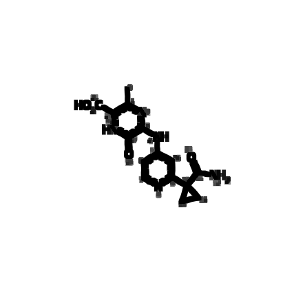 Cc1nc(Nc2ccnc(C3(C(N)=O)CC3)c2)c(=O)[nH]c1C(=O)O